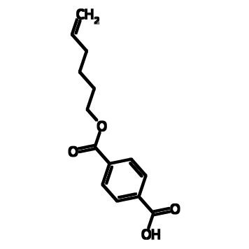 C=CCCCCOC(=O)c1ccc(C(=O)O)cc1